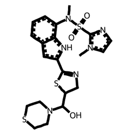 CN(c1cccc2cc(C3=NCC(C(O)N4CCSCC4)S3)[nH]c12)S(=O)(=O)c1nccn1C